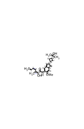 C=C/C=C\C(C)=[N+](\O)C(=O)Nc1cc2cn([C@H]3C[C@@H](C(C)(C)O)C3)nc2cc1OC